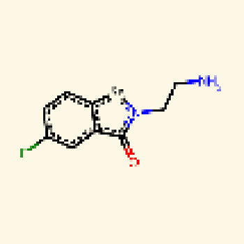 NCCn1[se]c2ccc(F)cc2c1=O